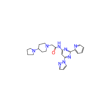 O=C(CN1CCC(N2CCCC2)CC1)Nc1cc(-n2cccn2)nc(-c2ccccn2)n1